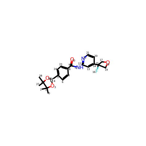 CC1(C)OB(c2ccc(C(=O)Nc3cc(C4(F)COC4)ccn3)cc2)OC1(C)C